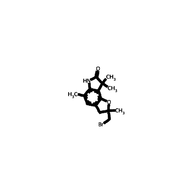 Cc1cc2c(c3c1NC(=O)C3(C)C)OC(C)(CBr)C2